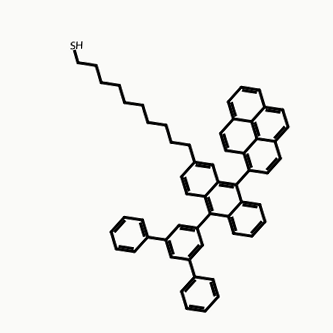 SCCCCCCCCCCc1ccc2c(-c3cc(-c4ccccc4)cc(-c4ccccc4)c3)c3ccccc3c(-c3ccc4ccc5cccc6ccc3c4c56)c2c1